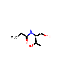 COCC(=O)NC(CO)C(C)O